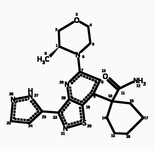 C[C@@H]1COCCN1c1cc(C2(C(N)=O)CCCCC2)c2snc(-c3ccn[nH]3)c2n1